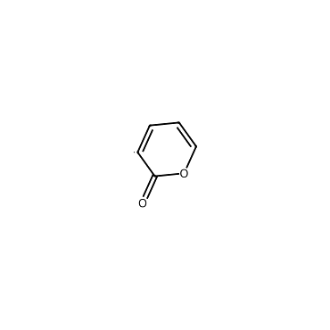 O=c1[c]ccco1